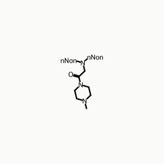 CCCCCCCCCN(CCCCCCCCC)CC(=O)N1CCN(C)CC1